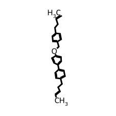 C/C=C/CCc1ccc(COc2ccc(-c3ccc(CC/C=C/C)cc3)cc2)cc1